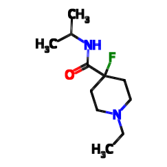 CCN1CCC(F)(C(=O)NC(C)C)CC1